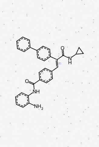 Nc1ccccc1NC(=O)c1ccc(/C=C(/C(=O)NC2CC2)c2ccc(-c3ccccc3)cc2)cc1